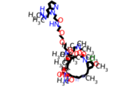 CNN(C)Cc1cc2cccnc2n1CCC(=O)NCCOCCOCCC(=O)N(C)[C@@H](C)C[C@]1(OC(=O)[C@H](C)N(C)C(C)=O)CC(=O)N(C)c2cc(cc(OC)c2Cl)C/C(C)=C/C=C/C(OC)[C@@]2(O)C[C@H](OC(=O)N2)[C@@H](C)[C@@H]2O[C@]21C